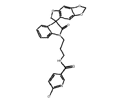 O=C(NCCCN1C(=O)C2(COc3cc4c(cc32)OCO4)c2ccccc21)c1ccc(Cl)nc1